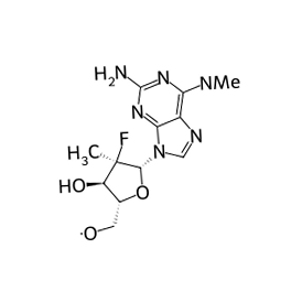 CNc1nc(N)nc2c1ncn2[C@@H]1O[C@H](C[O])[C@@H](O)[C@@]1(C)F